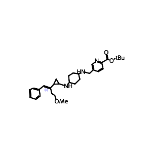 COCC/C(=C\c1ccccc1)C1CC1NC1CCC(NCc2ccc(C(=O)OC(C)(C)C)nc2)CC1